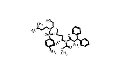 COC(=O)N(C(=O)[C@@H](N)C(c1ccccc1)c1ccccc1)[C@H](C)CCC[C@@H](CO)N(CCC(C)C)S(=O)(=O)c1ccc(N)cc1